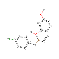 COc1ccc(/C=C\SCc2ccc(F)cc2)c(OC)c1